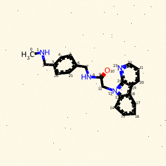 CNCc1ccc(CNC(=O)Cn2c3ccccc3c3cccnc32)cc1